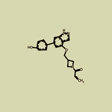 C=CC(=O)N1CC(COc2cc(-c3ccc(O)cc3)cc3[nH]ncc23)C1